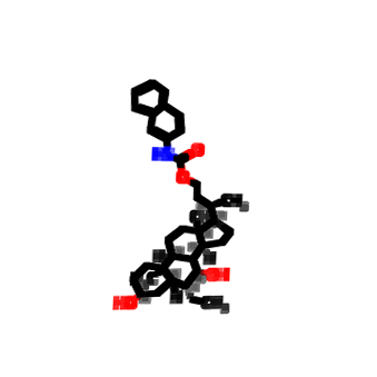 CC[C@H]1[C@@H](O)C2[C@H](CC[C@]3(C)[C@@H]([C@H](C)CCOC(=O)Nc4ccc5ccccc5c4)CC[C@@H]23)C2(C)CC[C@@H](O)C[C@@H]12